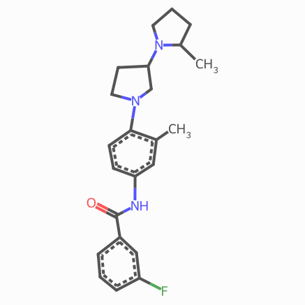 Cc1cc(NC(=O)c2cccc(F)c2)ccc1N1CCC(N2CCCC2C)C1